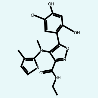 CCNC(=O)c1noc(-c2cc(Cl)c(O)cc2O)c1N(C)c1sccc1C